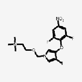 C[Si](C)(C)CCOCn1cc(I)c(Oc2c(F)cc([N+](=O)[O-])cc2F)c1